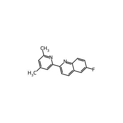 Cc1cc(C)nc(-c2ccc3cc(F)ccc3n2)c1